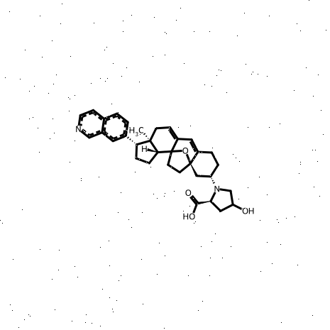 C[C@]12CC=C3C=C4CC[C@H](N5CC(O)C[C@H]5C(=O)O)C[C@]45CCC3(O5)[C@@H]1CC[C@@H]2c1ccc2ccncc2c1